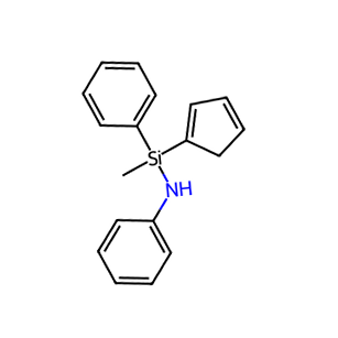 C[Si](Nc1ccccc1)(C1=CC=CC1)c1ccccc1